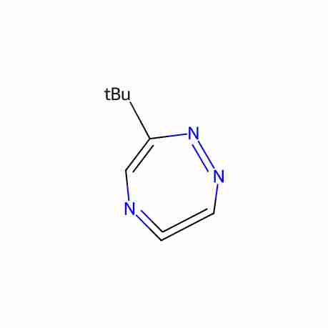 CC(C)(C)C1=CN=C=CN=N1